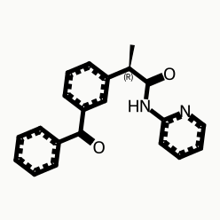 C[C@@H](C(=O)Nc1ccccn1)c1cccc(C(=O)c2ccccc2)c1